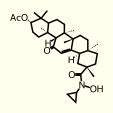 CC(=O)O[C@H]1CC[C@@]2(C)C(CC[C@]3(C)[C@@H]2C(=O)C=C2[C@@H]4C[C@@](C)(C(=O)N(O)C5CC5)CC[C@]4(C)CC[C@]23C)C1(C)C